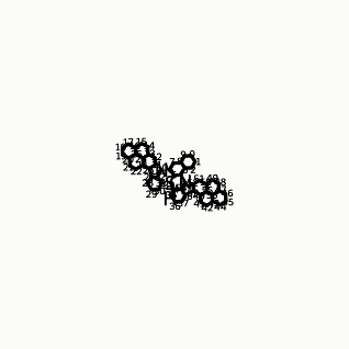 c1ccc2c3c4c(cc2c1)-n1c2cc5ccc6cccc7ccc(c5c67)c2c2cccc(c21)[SH]4c1cccc2c4c5ccc6cccc7ccc(cc4n-3c12)c5c76